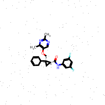 Cc1ncc(OC[C@@]2(C3C=CC=CC3)C[C@H]2C(=O)Nc2cc(F)cc(F)c2)c(C)n1